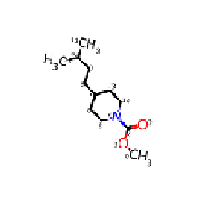 COC(=O)N1CCC(CCC(C)C)CC1